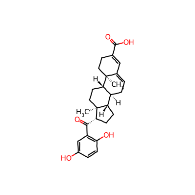 C[C@]12CC[C@H]3[C@@H](CC=C4C=C(C(=O)O)CC[C@@]43C)[C@@H]1CC[C@@H]2C(=O)c1cc(O)ccc1O